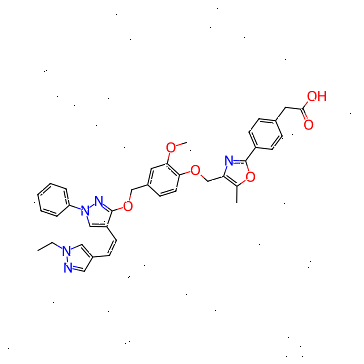 CCn1cc(/C=C\c2cn(-c3ccccc3)nc2OCc2ccc(OCc3nc(-c4ccc(CC(=O)O)cc4)oc3C)c(OC)c2)cn1